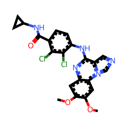 COc1cc2nc(Nc3ccc(C(=O)NC4CC4)c(Cl)c3Cl)c3cncn3c2cc1OC